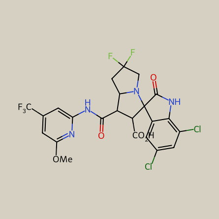 COc1cc(C(F)(F)F)cc(NC(=O)C2C3CC(F)(F)CN3C3(C(=O)Nc4c(Cl)cc(Cl)cc43)C2C(=O)O)n1